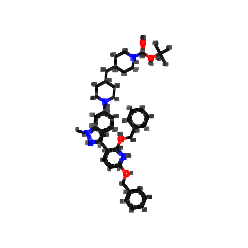 Cn1nc(-c2ccc(OCc3ccccc3)nc2OCc2ccccc2)c2ccc(N3CCC(CC4CCN(C(=O)OC(C)(C)C)CC4)CC3)cc21